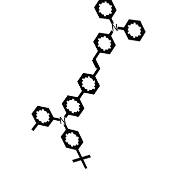 Cc1cccc(N(c2ccc(-c3ccc(/C=C/c4ccc(N(c5ccccc5)c5ccccc5)cc4)cc3)cc2)c2ccc(C(C)(C)C)cc2)c1